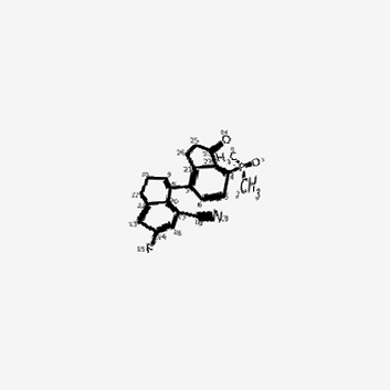 CP(C)(=O)c1ccc(C2=CCCc3cc(F)cc(C#N)c32)c2c1C(=O)CC2